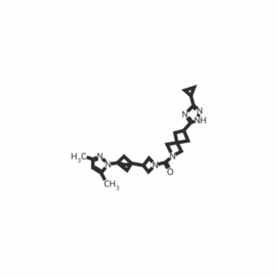 Cc1cc(C)n(C23CC(C4CN(C(=O)N5CC6(CC(c7nc(C8CC8)n[nH]7)C6)C5)C4)(C2)C3)n1